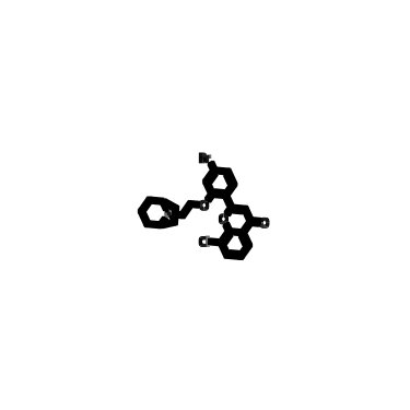 O=c1cc(-c2ccc(Br)cc2OCCN2C3CCCC2CC3)oc2c(Cl)cccc12